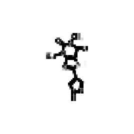 CCC(C)n1c(=O)n(C)c(=O)c2[nH]c(-c3cn[nH]c3)nc21